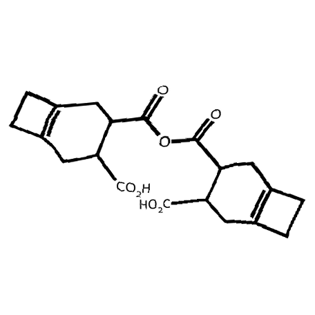 O=C(O)C1CC2=C(CC2)CC1C(=O)OC(=O)C1CC2=C(CC2)CC1C(=O)O